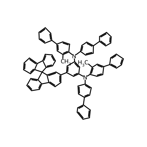 Cc1cc(-c2ccccc2)ccc1N(c1ccc(-c2ccccc2)cc1)c1cc(-c2ccc3c(c2)C2(c4ccccc4-c4ccccc42)c2ccccc2-3)cc(N(c2ccc(-c3ccccc3)cc2)c2ccc(-c3ccccc3)cc2C)c1